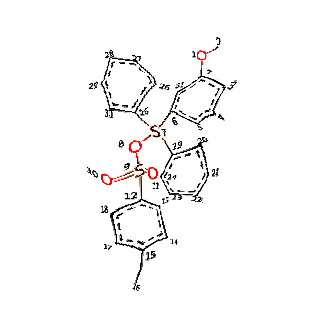 COc1cccc(S(OS(=O)(=O)c2ccc(C)cc2)(c2ccccc2)c2ccccc2)c1